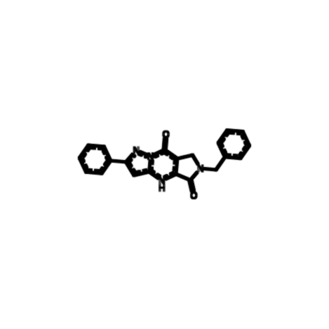 O=C1c2[nH]c3cc(-c4ccccc4)nn3c(=O)c2CN1Cc1ccccc1